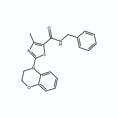 Cc1nc(N2CCOc3ccccc32)sc1C(=O)NCc1ccccc1